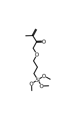 C=C(C)C(=O)COCCC[Si](OC)(OC)OC